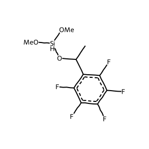 CO[SiH](OC)OC(C)c1c(F)c(F)c(F)c(F)c1F